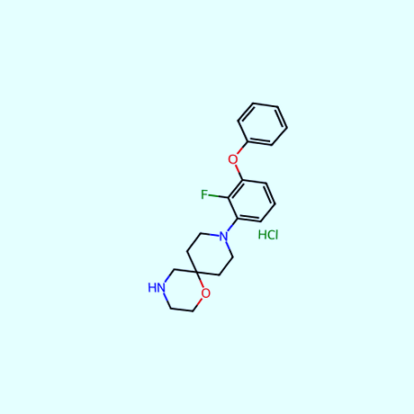 Cl.Fc1c(Oc2ccccc2)cccc1N1CCC2(CC1)CNCCO2